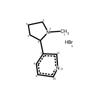 Br.CN1CCCC1c1cccnc1